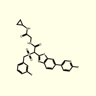 O=C(CNC(=O)C(c1nc2ccc(-c3ccc(F)nc3)cc2s1)S(=O)(=O)Cc1cccc(F)c1)NC1CC1